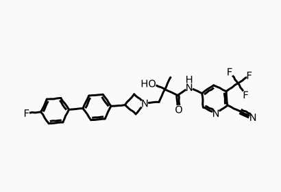 CC(O)(CN1CC(c2ccc(-c3ccc(F)cc3)cc2)C1)C(=O)Nc1cnc(C#N)c(C(F)(F)F)c1